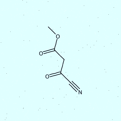 COC(=O)CC(=O)C#N